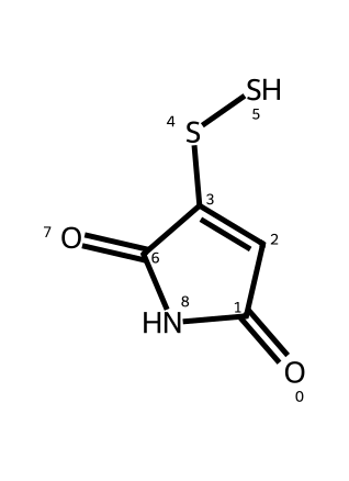 O=C1C=C(SS)C(=O)N1